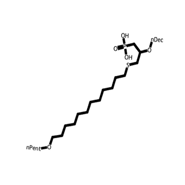 CCCCCCCCCCOC(CSCCCCCCCCCCCCOCCCCC)CP(=O)(O)O